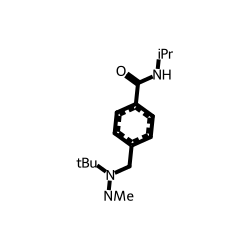 CNN(Cc1ccc(C(=O)NC(C)C)cc1)C(C)(C)C